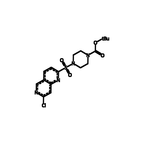 CC(C)(C)OC(=O)N1CCN(S(=O)(=O)c2ccc3cnc(Cl)cc3n2)CC1